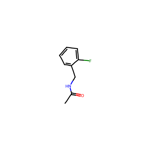 CC(=O)NCc1ccccc1F